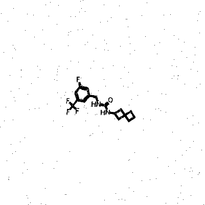 O=C(NCc1cc(F)cc(C(F)(F)F)c1)NC1CC2(CCC2)C1